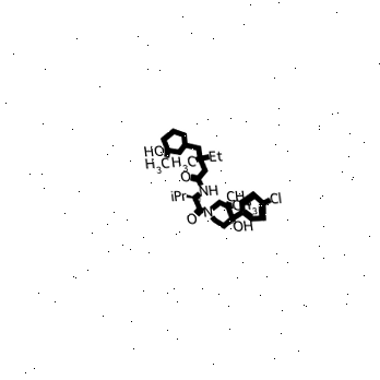 CCC(C)(CC(=O)N[C@@H](C(=O)N1CC[C@](O)(c2ccc(Cl)cc2)C(C)(C)C1)C(C)C)CC1CCCC(C)(O)C1